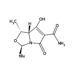 C[C@H]1O[C@H](C(C)(C)C)N2C(=O)C(C(N)=O)=C(O)[C@@H]12